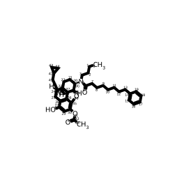 CCCCN(C(=O)CCCCCCCc1ccccc1)[C@@H]1CC[C@H]2[C@H]3Cc4c(O)cc(OC(C)=O)c5c4[C@@]2(CCN3CC2CC2)[C@H]1O5